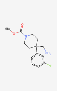 CC(C)(C)OC(=O)N1CCC(CN)(c2cccc(F)c2)CC1